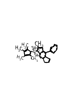 CC1=Cc2c(cc3c(c2-c2ccccc2)CCC3)[CH]1[Zr-2](=[SiH2])(=[SiH2])[CH]1C(C)=C(C)C(C)=C1C